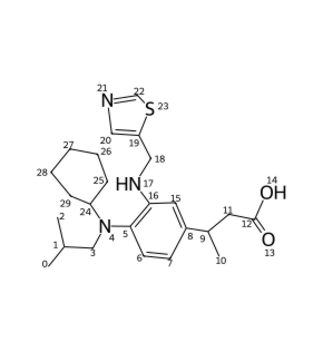 CC(C)CN(c1ccc(C(C)CC(=O)O)cc1NCc1cncs1)C1CCCCC1